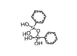 O[Si](O)(O[Si](O)(O)c1ccccc1)c1ccccc1